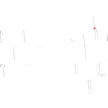 C/C=C1\C2C=C(C)CC1(/N=C/C=C/c1ccccc1C(=O)NC)c1ccc(=O)[nH]c1C2